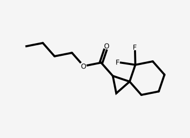 CCCCOC(=O)C1CC12CCCCC2(F)F